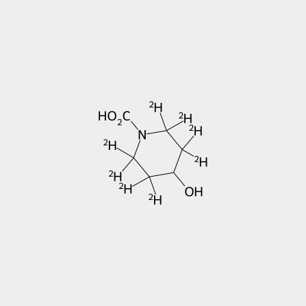 [2H]C1([2H])C(O)C([2H])([2H])C([2H])([2H])N(C(=O)O)C1([2H])[2H]